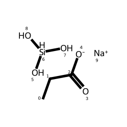 CCC(=O)[O-].O[SiH](O)O.[Na+]